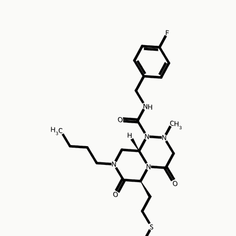 CCCCN1C[C@H]2N(C(=O)CN(C)N2C(=O)NCc2ccc(F)cc2)[C@@H](CCSC)C1=O